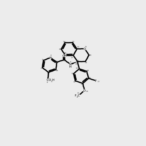 O=C(O)c1ccnc(C(=O)N[C@]2(c3ccc(OC(F)(F)F)c(F)c3)CCOc3cccnc32)c1